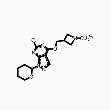 O=C(O)N1CC(COc2nc(Cl)nc3c2cnn3C2CCCCO2)C1